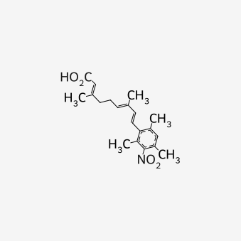 CC(C=Cc1c(C)cc(C)c([N+](=O)[O-])c1C)=CCCC(C)=CC(=O)O